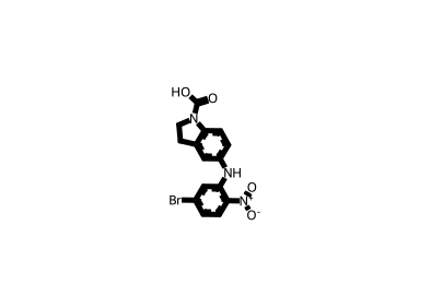 O=C(O)N1CCc2cc(Nc3cc(Br)ccc3[N+](=O)[O-])ccc21